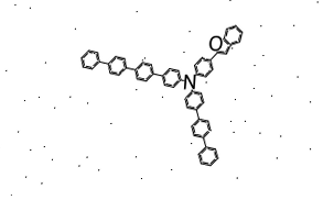 c1ccc(-c2ccc(-c3ccc(-c4ccc(N(c5ccc(-c6ccc(-c7ccccc7)cc6)cc5)c5ccc(-c6cc7ccccc7o6)cc5)cc4)cc3)cc2)cc1